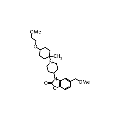 COCCOC1CCC(C)(N2CCC(n3c(=O)oc4ccc(COC)cc43)CC2)CC1